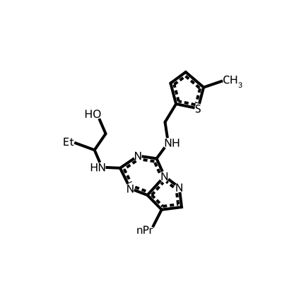 CCCc1cnn2c(NCc3ccc(C)s3)nc(NC(CC)CO)nc12